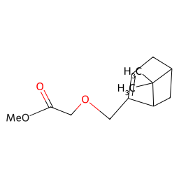 COC(=O)COCC1=CCC2CC1C2(C)C